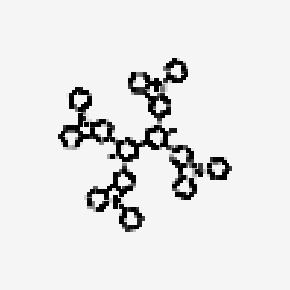 Cc1c(-c2ccc3c(c2)c2ccccc2n3-c2ccccc2)cc(-c2cc(-c3ccc4c(c3)c3ccccc3n4-c3ccccc3)c(C)c(-c3ccc4c(c3)c3ccccc3n4-c3ccccc3)c2)cc1-c1ccc2c(c1)c1ccccc1n2-c1ccccc1